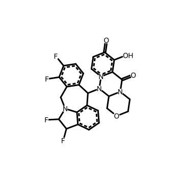 O=C1c2c(O)c(=O)ccn2N(C2c3ccc(F)c(F)c3CN3c4c(cccc42)C(F)C3F)C2COCCN12